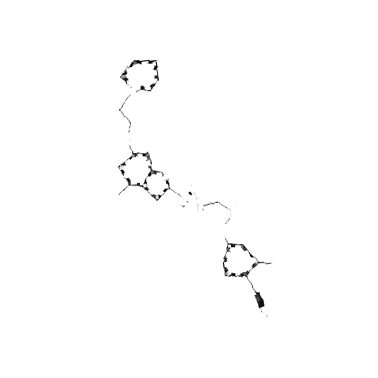 N#Cc1ccc(OP(=O)(O)CNS(=O)(=O)c2cc3c(F)cc(OCC[n+]4ccccc4)cc3s2)cc1F